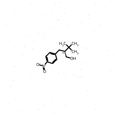 CC(C)(C)[C@@H](CO)Cc1ccc([N+](=O)[O-])cc1